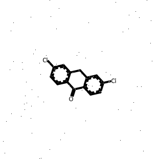 O=C1c2ccc(Cl)cc2Cc2cc(Cl)ccc21